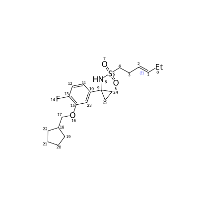 CC/C=C/CCS(=O)(=O)NC1(c2ccc(F)c(OCC3CCCC3)c2)CC1